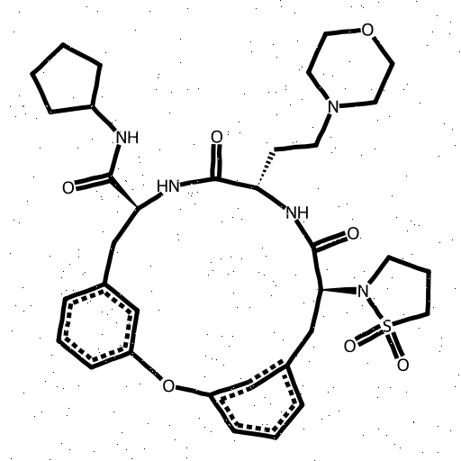 O=C(NC1CCCC1)[C@@H]1Cc2cccc(c2)Oc2cccc(c2)C[C@H](N2CCCS2(=O)=O)C(=O)N[C@@H](CCN2CCOCC2)C(=O)N1